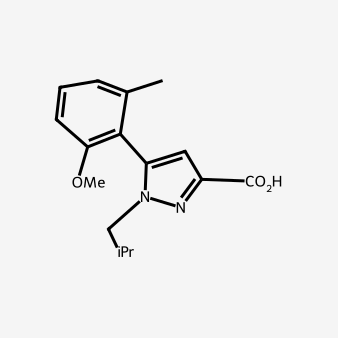 COc1cccc(C)c1-c1cc(C(=O)O)nn1CC(C)C